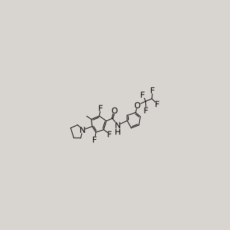 Cc1c(F)c(C(=O)Nc2cccc(OC(F)(F)C(F)F)c2)c(F)c(F)c1N1CCCC1